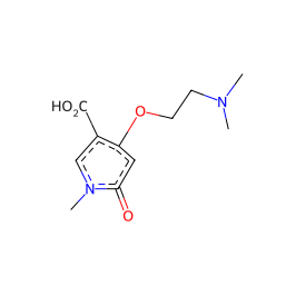 CN(C)CCOc1cc(=O)n(C)cc1C(=O)O